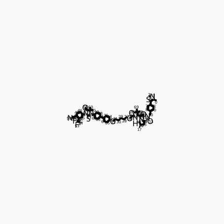 Cc1ncsc1-c1ccc(CNC(=O)[C@@H]2C[C@@H](C)CN2C(=O)[C@@H](NC(=O)OCCCCCOc2ccc(-c3ccc(N4C(=S)N(c5ccc(C#N)c(C(F)(F)F)c5)C(=O)C4(C)C)cc3)cc2)C(C)(C)C)cc1